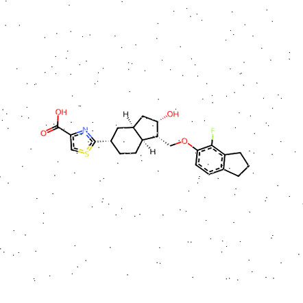 O=C(O)c1csc([C@H]2CC[C@H]3[C@@H](C2)C[C@H](O)[C@@H]3COc2ccc3c(c2F)CCC3)n1